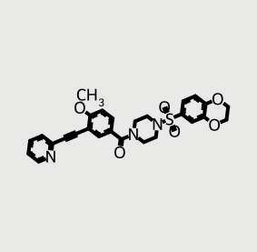 COc1ccc(C(=O)N2CCN(S(=O)(=O)c3ccc4c(c3)OCCO4)CC2)cc1C#Cc1ccccn1